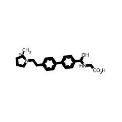 C[C@@H]1CCCN1CCc1ccc(-c2ccc(C(O)NCC(=O)O)cc2)cc1